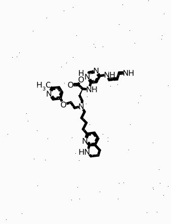 Cc1ccc(OCCN(CCCCc2ccc3c(n2)NCCC3)CC[C@H](Nc2cc(N/C=C\C=N)ncn2)C(=O)O)cn1